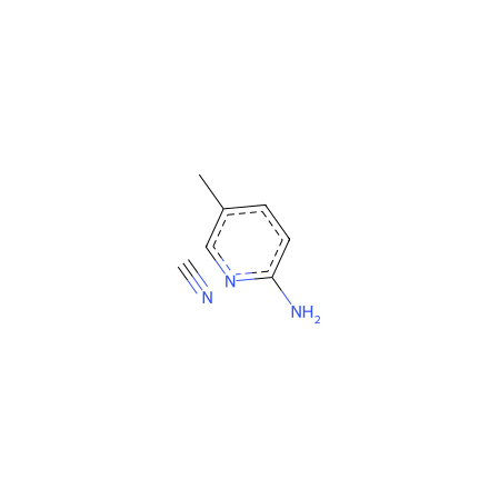 C#N.Cc1ccc(N)nc1